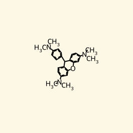 CN(C)c1ccc(C2c3ccc(N(C)C)cc3Oc3cc(N(C)C)ccc32)cc1